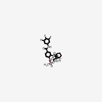 CS(=O)(=O)OC[C@@]1(O)CC2CC[C@@H]1[C@@H]2S(=O)(=O)c1cc(C(=O)Nc2cc(F)c(F)c(F)c2)ccc1Cl